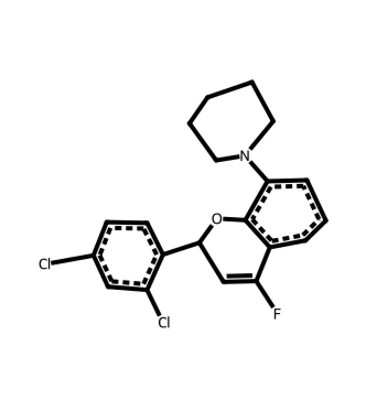 FC1=CC(c2ccc(Cl)cc2Cl)Oc2c1cccc2N1CCCCC1